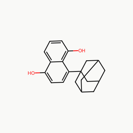 Oc1ccc(C23CC4CC(CC(C4)C2)C3)c2c(O)cccc12